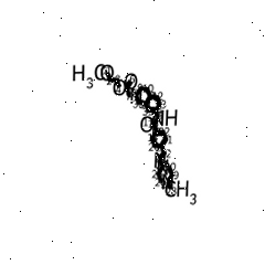 COCCOC(=O)CN1CCc2ccc(NC(=O)c3ccc(/C=N/N4CCN(C)CC4)cc3)cc2C1